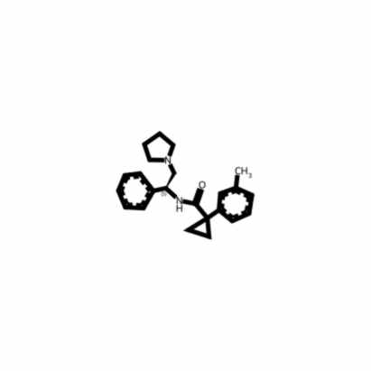 Cc1cccc(C2(C(=O)N[C@H](CN3CCCC3)c3ccccc3)CC2)c1